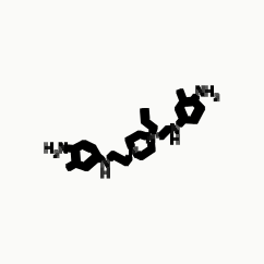 C=CC[N+]1(CCNc2ccc(N)c(C)c2)CCN(CCNc2ccc(N)c(C)c2)CC1